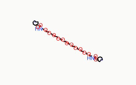 O=C(NCCOCCOCCOCCOCCOCCOCCOCCOCCOCCOCCOCCNC(=O)O[C@@H]1CC/C=C/CCC1)O[C@@H]1CC/C=C/CCC1